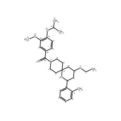 CCOC1CC(c2ccccc2C)OC2(CCN(C(=O)c3ccc(OC(C)C)c(OC)c3)CC2)C1